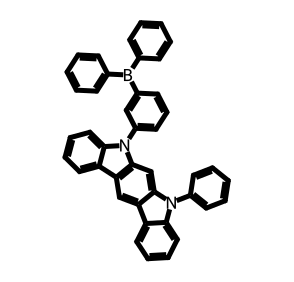 c1ccc(B(c2ccccc2)c2cccc(-n3c4ccccc4c4cc5c6ccccc6n(-c6ccccc6)c5cc43)c2)cc1